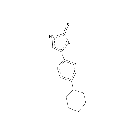 S=c1[nH]cc(-c2ccc(C3CCCCC3)cc2)[nH]1